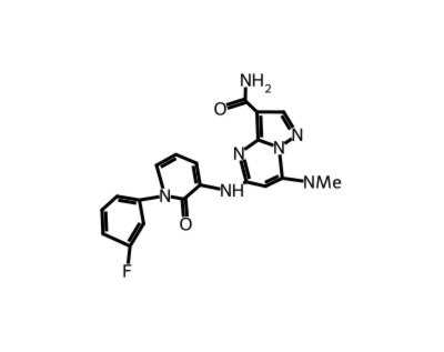 CNc1cc(Nc2cccn(-c3cccc(F)c3)c2=O)nc2c(C(N)=O)cnn12